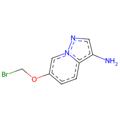 Nc1cnn2cc(OCBr)ccc12